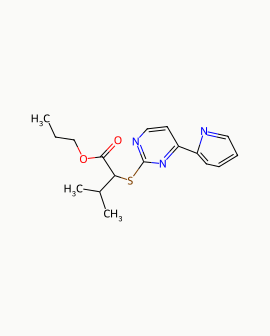 CCCOC(=O)C(Sc1nccc(-c2ccccn2)n1)C(C)C